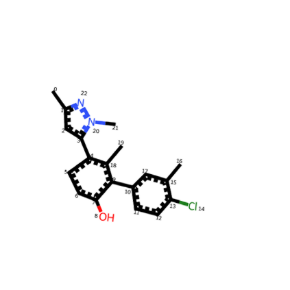 Cc1cc(-c2ccc(O)c(-c3ccc(Cl)c(C)c3)c2C)n(C)n1